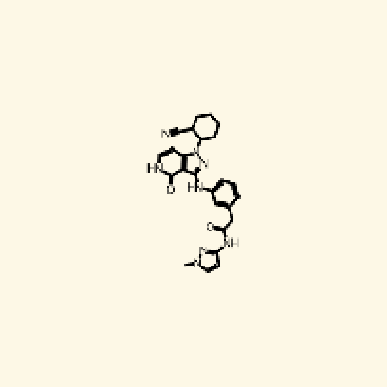 Cn1ccc(NC(=O)Cc2cccc(Nc3nn(C4CCCCC4C#N)c4cc[nH]c(=O)c34)c2)n1